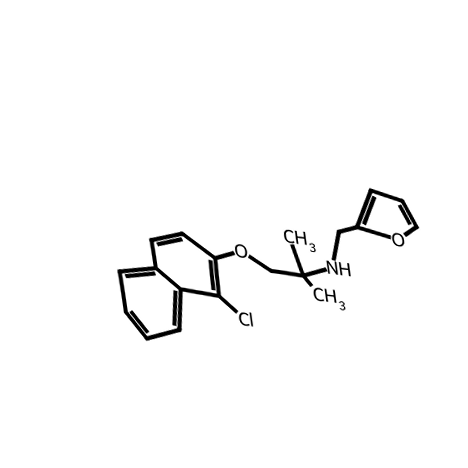 CC(C)(COc1ccc2ccccc2c1Cl)NCc1ccco1